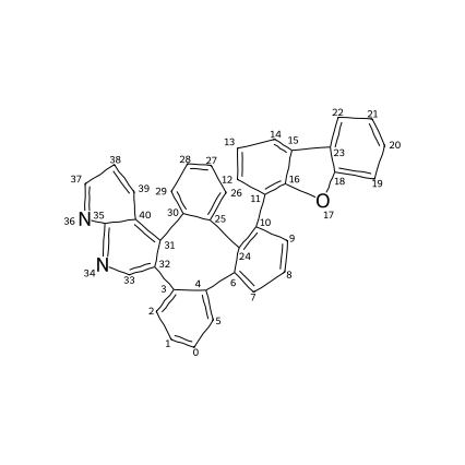 c1ccc2c(c1)-c1cccc(-c3cccc4c3oc3ccccc34)c1-c1ccccc1-c1c-2cnc2ncccc12